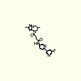 Cc1cc2n(n1)CC(C)CN2C(=O)CCC(=O)Nc1ccc(-c2cncc(F)c2)nc1